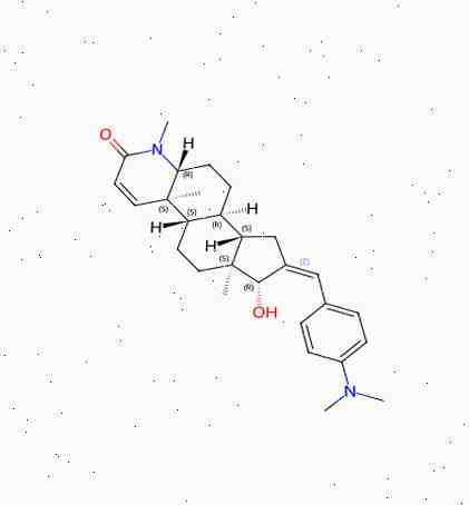 CN(C)c1ccc(/C=C2/C[C@H]3[C@@H]4CC[C@H]5N(C)C(=O)C=C[C@]5(C)[C@H]4CC[C@]3(C)[C@H]2O)cc1